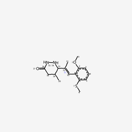 COc1cccc(SC)c1/C=C(\C)C1NNC(=O)CC1C